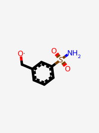 NS(=O)(=O)c1cccc(C[O])c1